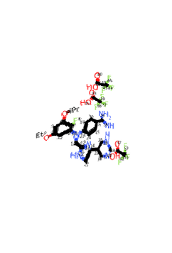 CCOc1cc(OC(C)C)c(F)c(N(Cc2nc(C3CN=CNC3)c[nH]2)c2ccc(C(=N)N)cc2)c1.O=C(O)C(F)(F)F.O=C(O)C(F)(F)F.O=C(O)C(F)(F)F